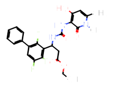 CCOC(=O)CC(NC(=O)Nc1c(O)cc(C)n(C)c1=O)c1c(F)c(F)cc(-c2ccccc2)c1F